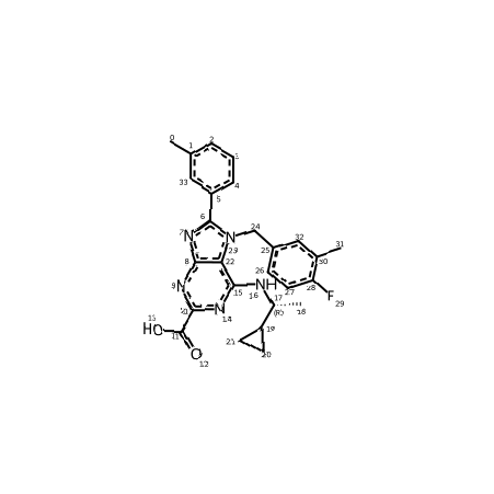 Cc1cccc(-c2nc3nc(C(=O)O)nc(N[C@H](C)C4CC4)c3n2Cc2ccc(F)c(C)c2)c1